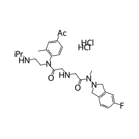 CC(=O)c1ccc(N(CCNC(C)C)C(=O)CNCC(=O)N(C)N2Cc3ccc(F)cc3C2)c(C)c1.Cl.Cl